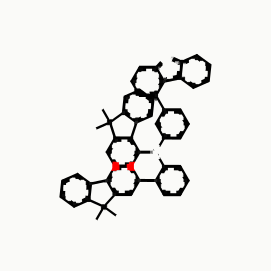 CC1(C)c2ccccc2-c2ccc(-c3ccccc3N(c3cccc(-c4cccc5oc6ccccc6c45)c3)c3cccc4c3-c3ccccc3C4(C)C)cc21